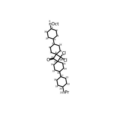 CCCCCCCCC1CCC(C2CCC3(CC2)C(=O)C2(CCC(C4CCC(CCC)CC4)CC2)C3(Cl)Cl)CC1